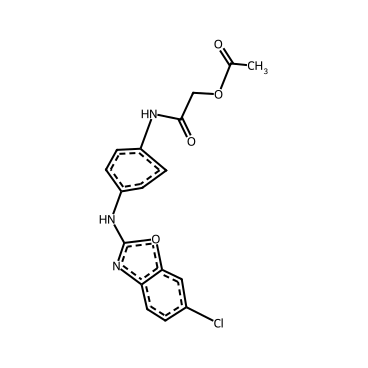 CC(=O)OCC(=O)Nc1ccc(Nc2nc3ccc(Cl)cc3o2)cc1